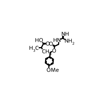 CC(C)C(=O)O.COc1ccc(COC(=O)CNC(=N)N)cc1